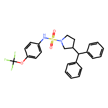 O=S(=O)(Nc1ccc(OC(F)(F)F)cc1)N1CCC(C(c2ccccc2)c2ccccc2)C1